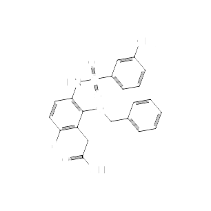 Cc1cccc(S(=O)(=O)Nc2ccc(C)c(CC(=O)O)c2OCc2ccccc2)c1